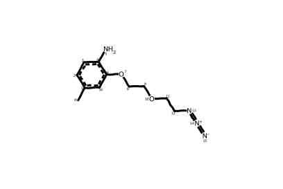 Cc1ccc(N)c(OCCOCCN=[N+]=[N-])c1